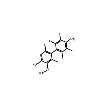 Bc1cc(F)c(-c2c(F)c(F)c(C)c(F)c2F)c(F)c1OC